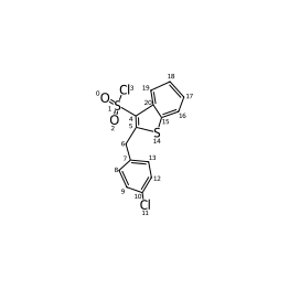 O=S(=O)(Cl)c1c(Cc2ccc(Cl)cc2)sc2ccccc12